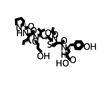 CC[C@H](C)[C@H](NC(=O)[C@H]1CCCCN1C)C(=O)N(OCCCO)[C@H](C[C@@H](OC(C)=O)c1nc(C(=O)N[C@@H](Cc2ccc(O)cc2)C[C@H](C)C(=O)O)cs1)C(C)C